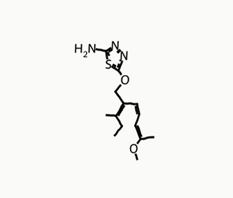 CC\C(C)=C(/C=C\C=C(/C)OC)COc1nnc(N)s1